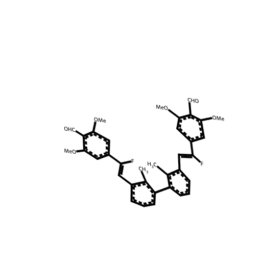 COc1cc(/C(F)=C/c2cccc(-c3cccc(/C=C(\F)c4cc(OC)c(C=O)c(OC)c4)c3C)c2C)cc(OC)c1C=O